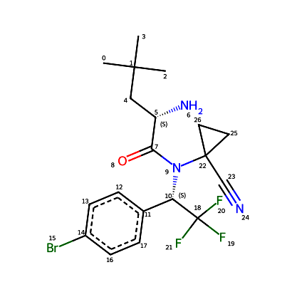 CC(C)(C)C[C@H](N)C(=O)N([C@@H](c1ccc(Br)cc1)C(F)(F)F)C1(C#N)CC1